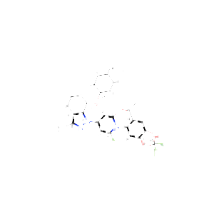 C[C@H](Oc1cc(-n2nc(C(F)(F)F)c3c2[C@@H](OC2CCC(C(=O)O)CC2)CCC3)cc(F)n1)c1ccc2c(c1)OC(F)(F)O2